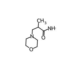 CC(CN1CCOCC1)C([NH])=O